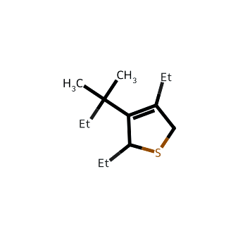 CCC1=C(C(C)(C)CC)C(CC)SC1